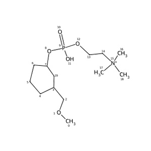 COCC1CCCC(OP(=O)(O)OCC[N+](C)(C)C)C1